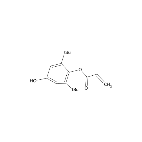 C=CC(=O)Oc1c(C(C)(C)C)cc(O)cc1C(C)(C)C